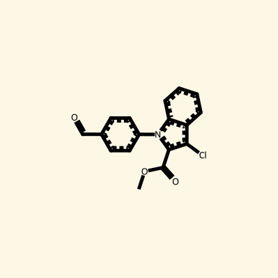 COC(=O)c1c(Cl)c2ccccc2n1-c1ccc(C=O)cc1